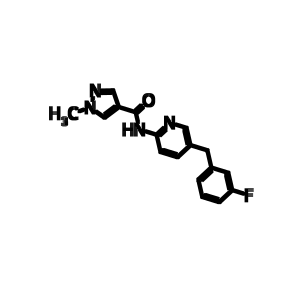 Cn1cc(C(=O)Nc2ccc(Cc3cccc(F)c3)cn2)cn1